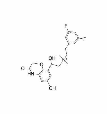 C[N+](C)(CCc1cc(F)cc(F)c1)CC(O)c1cc(O)cc2c1OCC(=O)N2